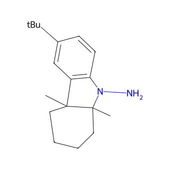 CC(C)(C)c1ccc2c(c1)C1(C)CCCCC1(C)N2N